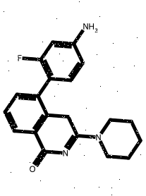 Nc1ccc(-c2cccc3c2CC(N2CCCCC2)=NC3=O)c(F)c1